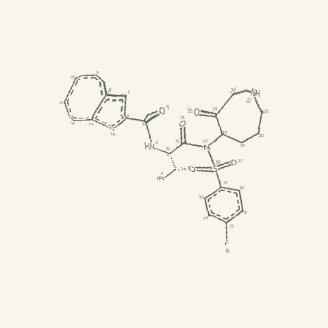 CC(C)C[C@H](NC(=O)c1cc2ccccc2s1)C(=O)N(C1CCCNCC1=O)S(=O)(=O)c1ccc(F)cc1